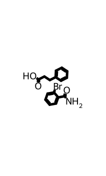 NC(=O)c1ccccc1Br.O=C(O)CCc1ccccc1